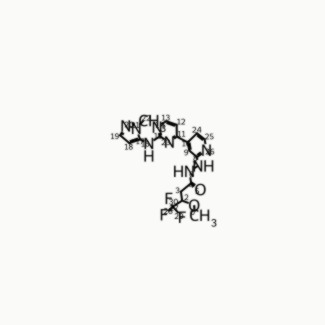 COC(CC(=O)NNc1cc(-c2ccnc(Nc3ccnn3C)n2)ccn1)C(F)(F)F